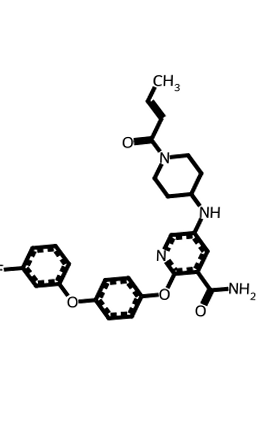 CC=CC(=O)N1CCC(Nc2cnc(Oc3ccc(Oc4cccc(F)c4)cc3)c(C(N)=O)c2)CC1